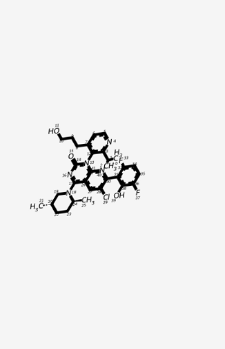 CC(C)c1nccc(CCCO)c1-n1c(=O)nc(N2C[C@@H](C)CC[C@@H]2C)c2cc(Cl)c(-c3c(F)ccc(F)c3O)nc21